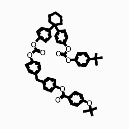 CC(C)(C)Oc1ccc(C(=O)Oc2ccc(Cc3ccc(OC(=O)Oc4ccc(C5(c6ccc(OC(=O)Oc7ccc(C(C)(C)C)cc7)cc6)CCCCC5)cc4)cc3)cc2)cc1